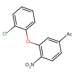 CC(=O)c1ccc([N+](=O)[O-])c(Oc2ccccc2Cl)c1